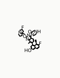 C#Cc1c(F)ccc2cc(O)cc(-c3ccc4c(N5CCNCC5=O)nc(OCC56CCCN5CC(F)C6)nc4c3C)c12